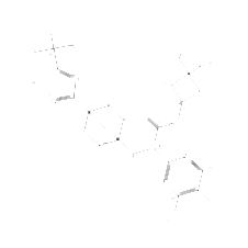 CC1(O)CC(OC(=O)N(CC23CCC(c4noc(C(C)(C)F)n4)(CC2)CC3)c2cc(I)c(F)cn2)C1